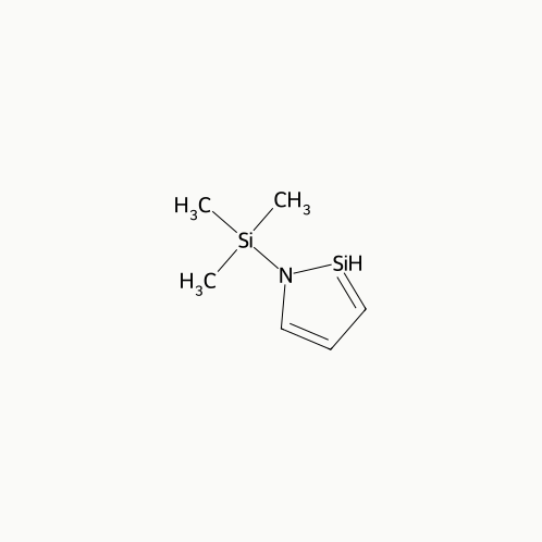 C[Si](C)(C)n1ccc[siH]1